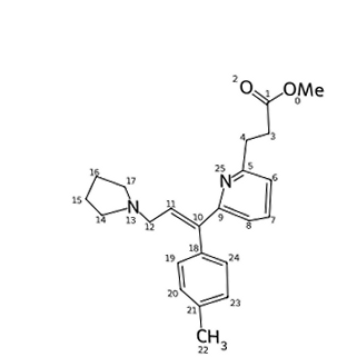 COC(=O)CCc1cccc(/C(=C/CN2CCCC2)c2ccc(C)cc2)n1